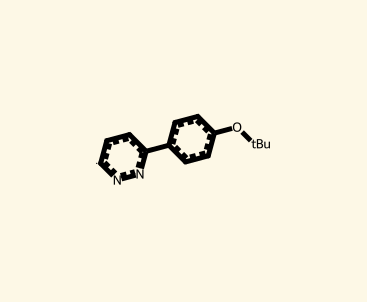 CC(C)(C)Oc1ccc(-c2cc[c]nn2)cc1